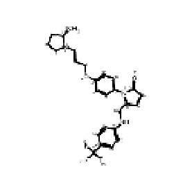 CC1CCCN1CCCOc1ccc(N2C(=O)CCC2CNc2ccc(C(F)(F)F)cc2)cc1